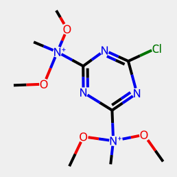 CO[N+](C)(OC)c1nc(Cl)nc([N+](C)(OC)OC)n1